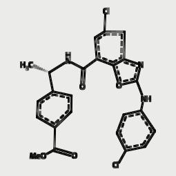 COC(=O)c1ccc([C@H](C)NC(=O)c2cc(Cl)cc3nc(Nc4ccc(Cl)cc4)oc23)cc1